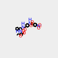 CCC1OCC(=O)C1NC(=O)C(CC1(C)CCCC1)NC(=O)c1ccc(NS(=O)(=O)c2ccc([N+](=O)[O-])cc2)cc1